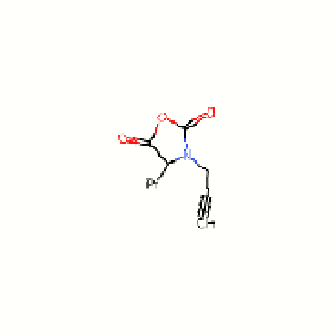 C#CCN1C(=O)OC(=O)C1C(C)C